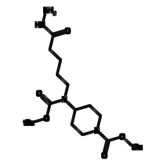 CC(C)(C)OC(=O)N1CCC(N(CCCCC(=O)NN)C(=O)OC(C)(C)C)CC1